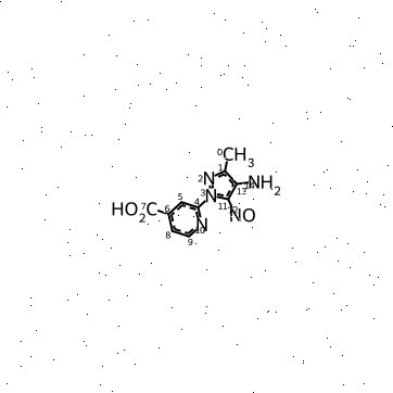 Cc1nn(-c2cc(C(=O)O)ccn2)c(N=O)c1N